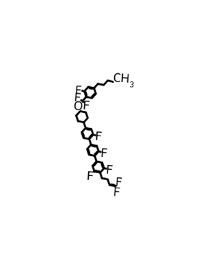 CCCCCc1ccc(C(F)(F)OC2CCC(c3ccc(-c4ccc(-c5cc(F)c(CCC=C(F)F)c(F)c5)c(F)c4)c(F)c3)CC2)c(F)c1